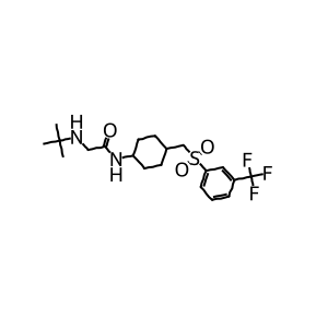 CC(C)(C)NCC(=O)NC1CCC(CS(=O)(=O)c2cccc(C(F)(F)F)c2)CC1